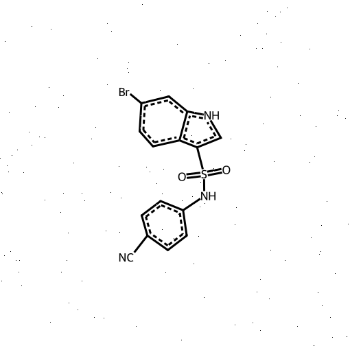 N#Cc1ccc(NS(=O)(=O)c2c[nH]c3cc(Br)ccc23)cc1